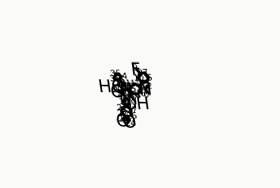 CN(C)[C@]1(c2cccc(F)c2)CC[C@@]2(CC1)CN(CC1(O)CCS(=O)(=O)CC1)C(=O)N2CC1(O)CCC1